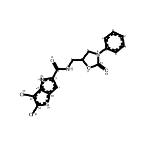 O=C(NCC1CN(c2ccccc2)C(=O)O1)c1cc2sc(Cl)c(Cl)c2[nH]1